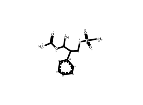 CC(=O)OC(O)C(COS(N)(=O)=O)c1ccccc1